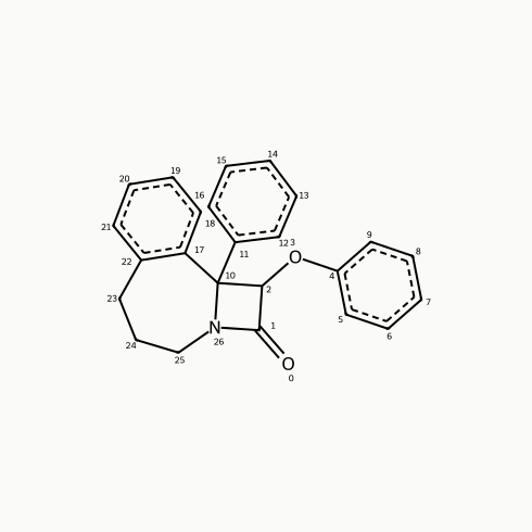 O=C1C(Oc2ccccc2)C2(c3ccccc3)c3ccccc3CCCN12